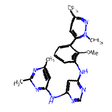 COc1c(Nc2cc(Nc3cc(C)nc(C)n3)ncn2)cccc1-c1cc(C(F)(F)F)nn1C